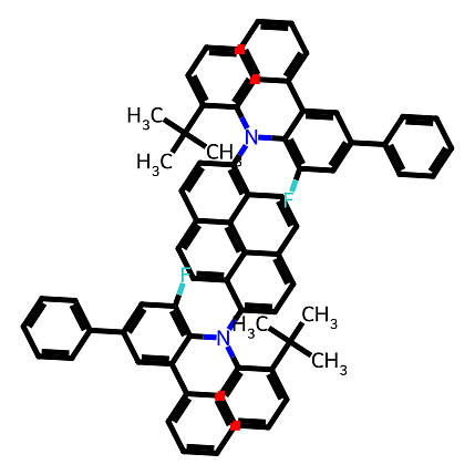 CC(C)(C)c1ccccc1N(c1c(F)cc(-c2ccccc2)cc1-c1ccccc1)c1ccc2ccc3c(N(c4ccccc4C(C)(C)C)c4c(F)cc(-c5ccccc5)cc4-c4ccccc4)ccc4ccc1c2c43